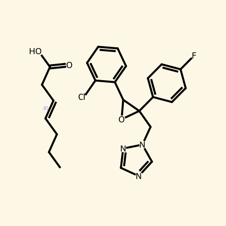 CCC/C=C/CC(=O)O.Fc1ccc(C2(Cn3cncn3)OC2c2ccccc2Cl)cc1